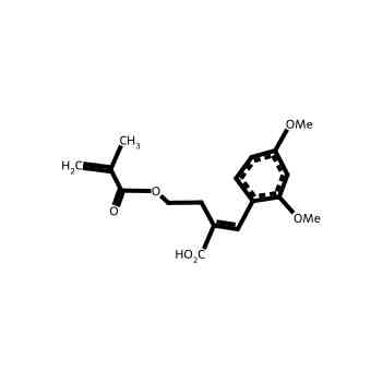 C=C(C)C(=O)OCCC(=Cc1ccc(OC)cc1OC)C(=O)O